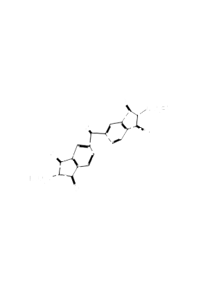 CCOC(=O)C1C(=O)c2ccc(C(=O)c3ccc4c(c3)C(=O)C(C(=O)OCC)C4=O)cc2C1=O